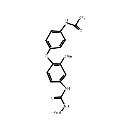 CCCCCNC(=O)Nc1ccc(Oc2ccc(NC(=O)C(F)(F)F)cc2)c(OC)c1